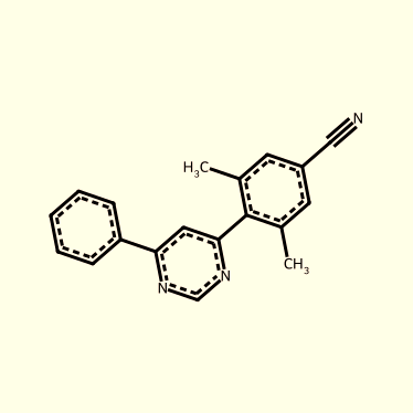 Cc1cc(C#N)cc(C)c1-c1cc(-c2ccccc2)ncn1